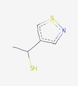 CC(S)c1cnsc1